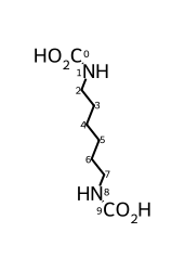 O=C(O)NCCCCCCNC(=O)O